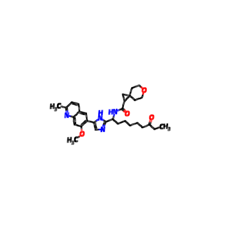 CCC(=O)CCCCCC(NC(=O)C1CC12CCOCC2)c1ncc(-c2cc3ccc(C)nc3cc2OC)[nH]1